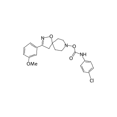 COc1cccc(C2=NOC3(CCN(OC(=O)Nc4ccc(Cl)cc4)CC3)C2)c1